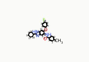 Cc1ccc(C(=O)Nc2cc3nc(C4CCCCC4)[nH]c3cc2Oc2ccc(F)cc2)cc1